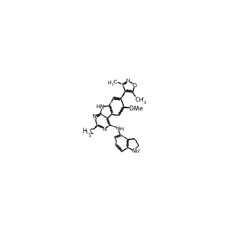 COc1cc2c(cc1-c1c(C)noc1C)[nH]c1nc(C)nc(Nc3cccc4c3CCN4)c12